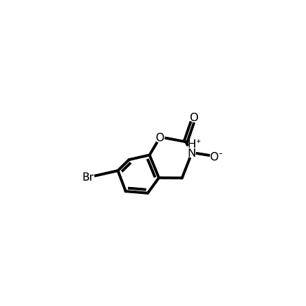 O=C1Oc2cc(Br)ccc2C[NH+]1[O-]